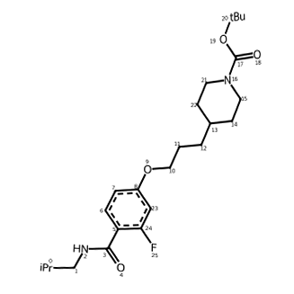 CC(C)CNC(=O)c1ccc(OCCCC2CCN(C(=O)OC(C)(C)C)CC2)cc1F